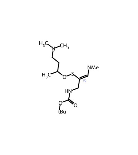 CN/C=C(/CNC(=O)OC(C)(C)C)SOC(C)CCN(C)C